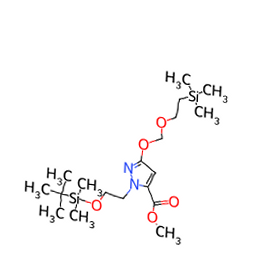 COC(=O)c1cc(OCOCC[Si](C)(C)C)nn1CCO[Si](C)(C)C(C)(C)C